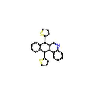 c1csc(-c2c3ccccc3c(-c3cccs3)c3c2cnc2ccccc23)c1